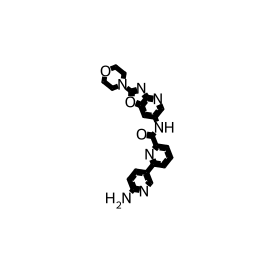 Nc1ccc(-c2cccc(C(=O)Nc3cnc4nc(N5CCOCC5)oc4c3)n2)cn1